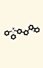 c1ccc(-c2nnc(-c3ccc(-c4cccc(-c5cccc6c5sc5ccccc56)c4)cc3)n2-c2ccccc2)cc1